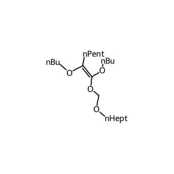 CCCCCCCOCOC(OCCCC)=C(CCCCC)OCCCC